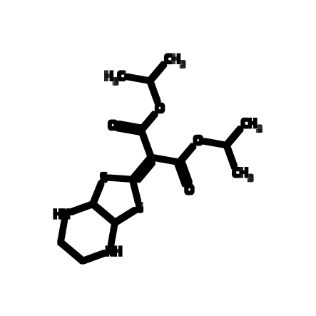 CC(C)OC(=O)C(C(=O)OC(C)C)=C1SC2NCCNC2S1